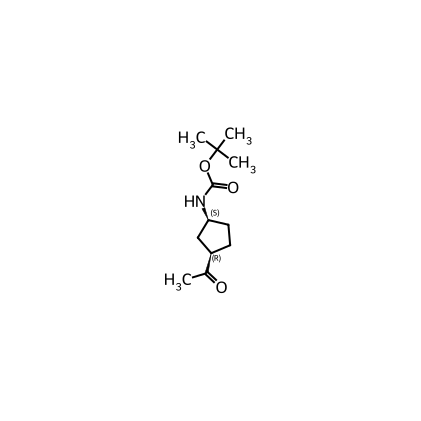 CC(=O)[C@@H]1CC[C@H](NC(=O)OC(C)(C)C)C1